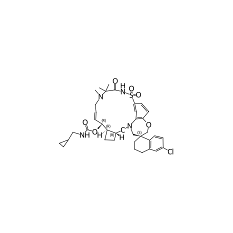 CN1CC=C[C@H](OC(=O)NCC2CC2)[C@@H]2CC[C@H]2CN2C[C@@]3(CCCc4cc(Cl)ccc43)COc3ccc(cc32)S(=O)(=O)NC(=O)C1(C)C